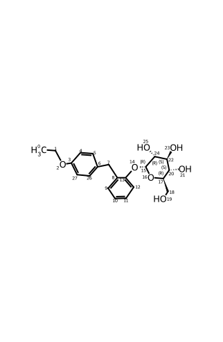 CCOc1ccc(Cc2ccccc2O[C@H]2O[C@H](CO)[C@@H](O)[C@H](O)[C@H]2O)cc1